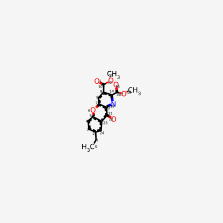 CCc1ccc2oc3cc(C(=O)OC)c(C(=O)OC)nc3c(=O)c2c1